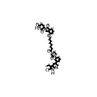 CCc1c(Cl)[nH]c2ncc(-c3cccc(N4CCN(C(=O)CCCCCCCOc5cccc6c5CN(C5CCC(=O)NC5=O)C6=O)CC4=O)c3)cc12